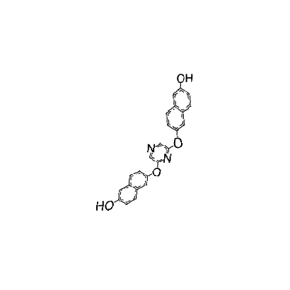 Oc1ccc2cc(Oc3cncc(Oc4ccc5cc(O)ccc5c4)n3)ccc2c1